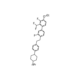 CCCC1CCC(c2ccc(CCc3ccc(-c4ccc(OCC)c(F)c4C(F)F)cc3F)cc2)CC1